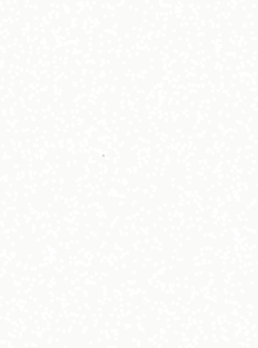 O=C([O-])CC(C(=O)[O-])C1(C(CC(=O)[O-])C(=O)[O-])CCCCC1.[Ca+2].[Ca+2]